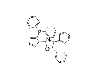 C1=CC(C2=N[C@@H](c3ccccc3)[C@H](c3ccccc3)O2)C(P(c2ccccc2)c2ccccc2)=C1